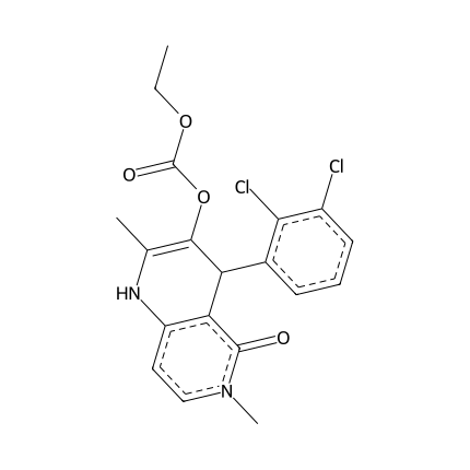 CCOC(=O)OC1=C(C)Nc2ccn(C)c(=O)c2C1c1cccc(Cl)c1Cl